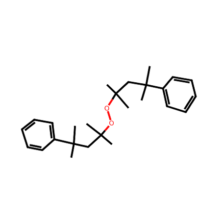 CC(C)(CC(C)(C)c1ccccc1)OOC(C)(C)CC(C)(C)c1ccccc1